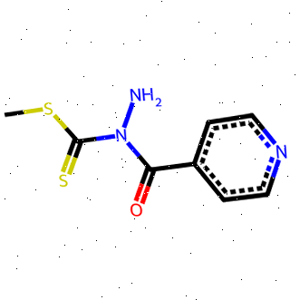 CSC(=S)N(N)C(=O)c1ccncc1